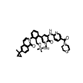 Cn1cc(-c2cccc(-n3ccc4cc(C5(C)CC5)ccc4c3=O)c2CO[Si](C)(C)C(C)(C)C)cc(Nc2ccc(C(=O)N3CCOCC3)cn2)c1=O